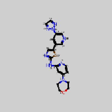 c1cc(N2CCOCC2)cc(Nc2ncc(-c3cncc(-n4nccn4)c3)s2)n1